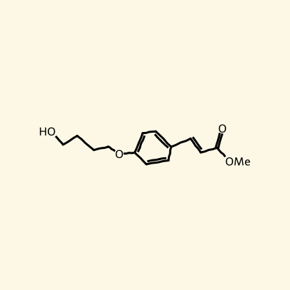 COC(=O)/C=C/c1ccc(OCCCCO)cc1